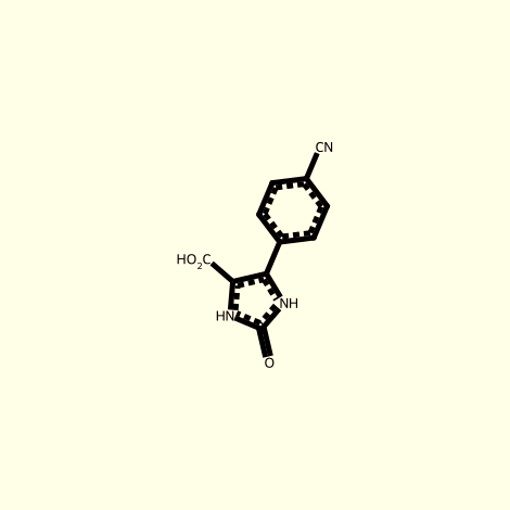 N#Cc1ccc(-c2[nH]c(=O)[nH]c2C(=O)O)cc1